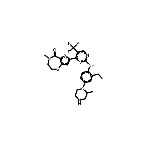 CCc1cc(N2CCNCC2C)ccc1Nc1ncc(C(F)(F)F)c(-c2cc3c(s2)C(=O)N(C)CCS3)n1